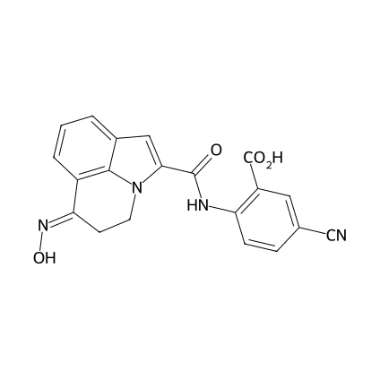 N#Cc1ccc(NC(=O)c2cc3cccc4c3n2CCC4=NO)c(C(=O)O)c1